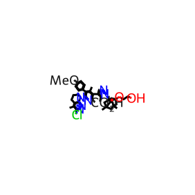 COc1ccc(-c2c(N3CCCc4c3nnc(Cl)c4C)nc(C(=O)O)c(-c3cnn(CC45CC6(C)CC(C)(C4)CC(OCCO)(C6)C5)c3C)c2C)cc1